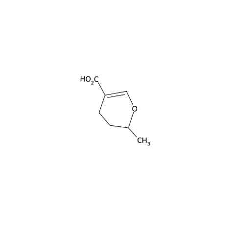 CC1CCC(C(=O)O)=CO1